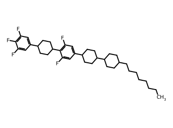 CCCCCCCCC1CCC(C2CCC(c3cc(F)c(C4CCC(c5cc(F)c(F)c(F)c5)CC4)c(F)c3)CC2)CC1